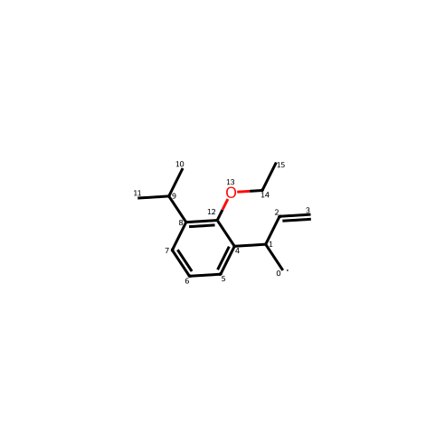 [CH2]C(C=C)c1cccc(C(C)C)c1OCC